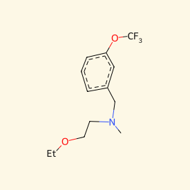 CCOCCN(C)Cc1cccc(OC(F)(F)F)c1